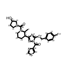 CC1C(c2nc(OCc3ccc(F)cc3)n(C(=O)c3cscn3)n2)CCCN1C(=O)N1CCC(O)C1